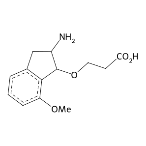 COc1cccc2c1C(OCCC(=O)O)C(N)C2